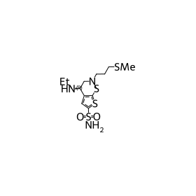 CCN[C@H]1CN(CCCSC)Sc2sc(S(N)(=O)=O)cc21